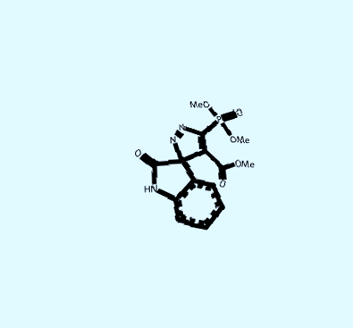 COC(=O)C1=C(P(=O)(OC)OC)N=NC12C(=O)Nc1ccccc12